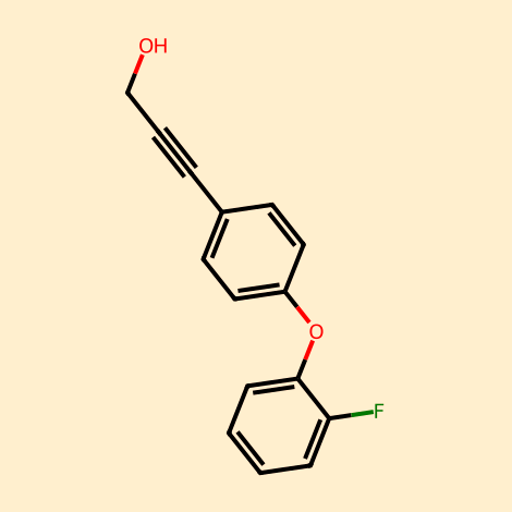 OCC#Cc1ccc(Oc2ccccc2F)cc1